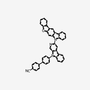 N#Cc1ccc(-c2ccc(-n3c4ccccc4c4cc(-n5c6ccccc6c6cc7c(cc65)oc5ccccc57)ncc43)cc2)cc1